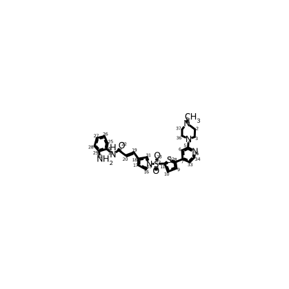 CN1CCN(c2cc(-c3ccc(S(=O)(=O)n4ccc(/C=C/C(=O)Nc5ccccc5N)c4)s3)ccn2)CC1